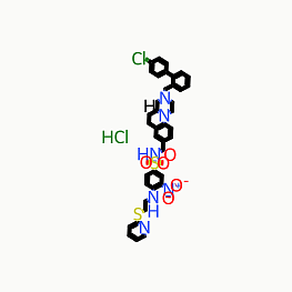 Cl.O=C(NS(=O)(=O)c1ccc(NCCSc2ccccn2)c([N+](=O)[O-])c1)c1ccc2c(c1)CC[C@H]1CN(Cc3ccccc3-c3ccc(Cl)cc3)CCN21